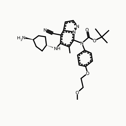 COCCOc1ccc(N(C(=O)OC(C)(C)C)c2c(C)c(N[C@H]3CC[C@H](N)CC3)c(C#N)c3ccnn23)cc1